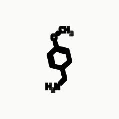 COC1=CCC(CN)C=C1